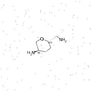 NC[C@@H]1CC[C@@H](N)CO1